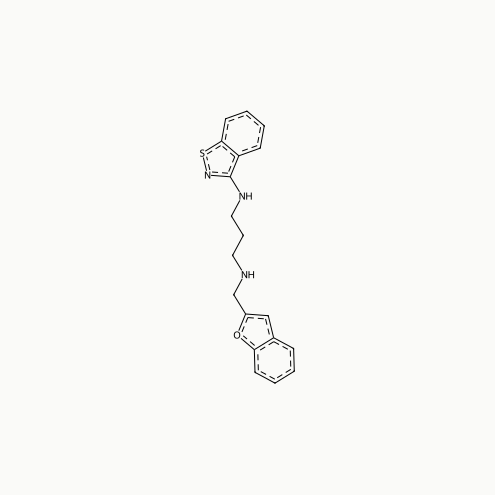 c1ccc2oc(CNCCCNc3nsc4ccccc34)cc2c1